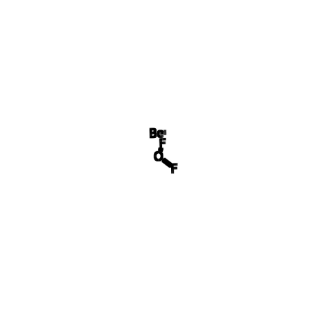 FOF.[Be]